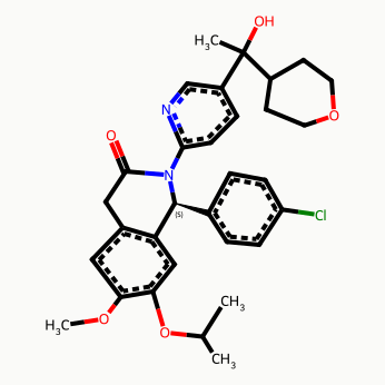 COc1cc2c(cc1OC(C)C)[C@H](c1ccc(Cl)cc1)N(c1ccc(C(C)(O)C3CCOCC3)cn1)C(=O)C2